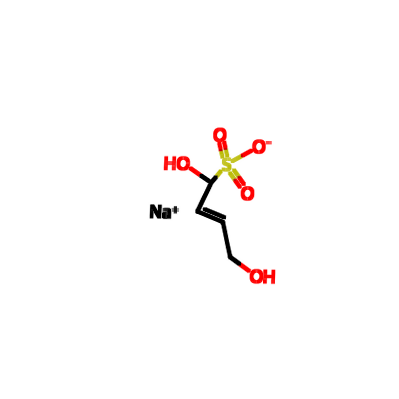 O=S(=O)([O-])C(O)C=CCO.[Na+]